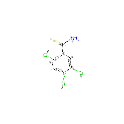 NC(=S)c1cc(Cl)c(Cl)cc1Cl